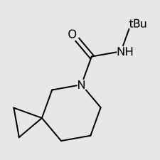 CC(C)(C)NC(=O)N1CCCC2(CC2)C1